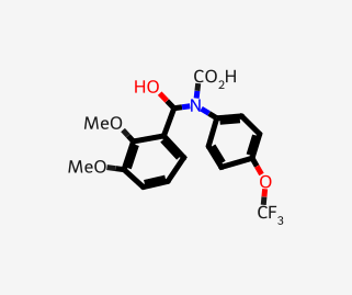 COc1cccc(C(O)N(C(=O)O)c2ccc(OC(F)(F)F)cc2)c1OC